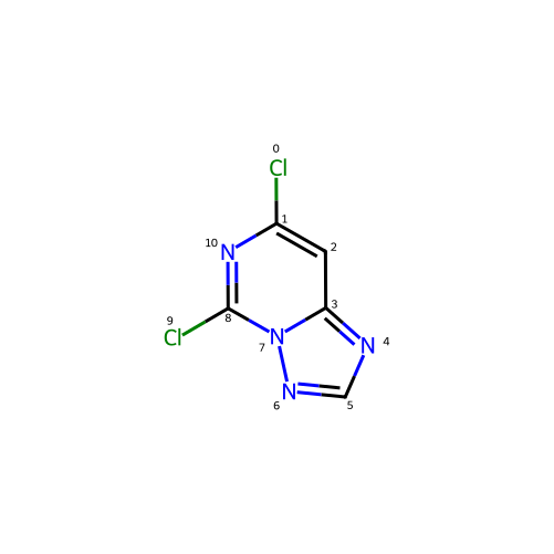 Clc1cc2ncnn2c(Cl)n1